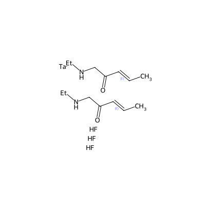 C/C=C/C(=O)CNCC.C/C=C/C(=O)CNCC.F.F.F.[Ta]